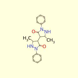 CC1NN(c2ccccc2)C(=O)C1C1C(=O)N(c2ccccc2)NC1C